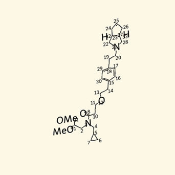 COC(CN(CC1CC1)C(=O)CCOCCc1ccc(CCN2C[C@H]3C[CH]C[C@H]3C2)cc1)OC